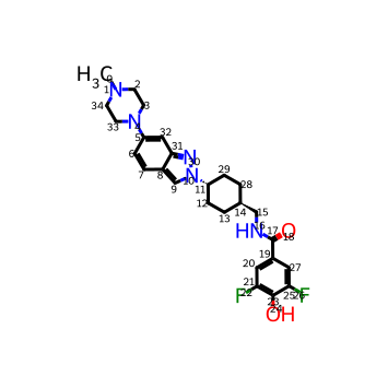 CN1CCN(c2ccc3cn([C@H]4CC[C@H](CNC(=O)c5cc(F)c(O)c(F)c5)CC4)nc3c2)CC1